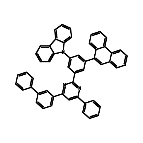 c1ccc(-c2cccc(-c3cc(-c4ccccc4)nc(-c4cc(-c5cc6ccccc6c6ccccc56)cc(-n5c6ccccc6c6ccccc65)c4)n3)c2)cc1